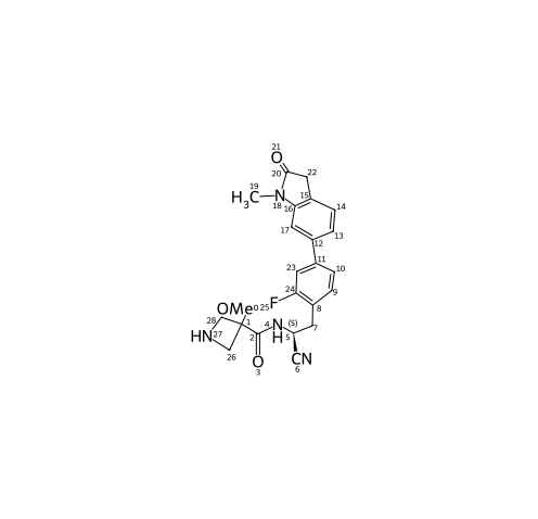 COC1(C(=O)N[C@H](C#N)Cc2ccc(-c3ccc4c(c3)N(C)C(=O)C4)cc2F)CNC1